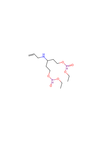 C=CCNC(CCO[PH](=O)OCC)CCO[PH](=O)OCC